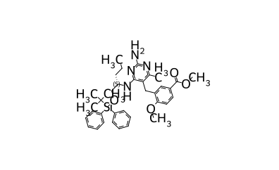 CCC[C@@H](CO[Si](c1ccccc1)(c1ccccc1)C(C)(C)C)Nc1nc(N)nc(C)c1Cc1cc(C(=O)OC)ccc1OC